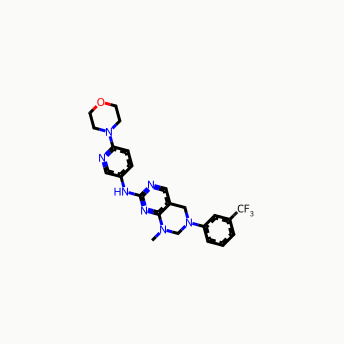 CN1CN(c2cccc(C(F)(F)F)c2)Cc2cnc(Nc3ccc(N4CCOCC4)nc3)nc21